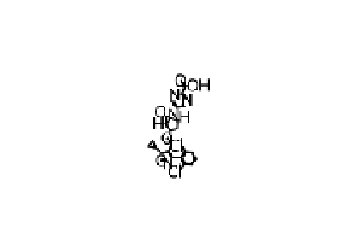 O=C(O)c1ncc(N2C(=O)[C@@H]3C[C@H]2C[C@H]3OCc2c(-c3c(Cl)cccc3Cl)noc2C2CC2)cn1